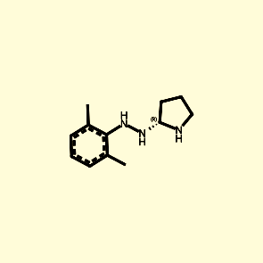 Cc1cccc(C)c1NN[C@@H]1CCCN1